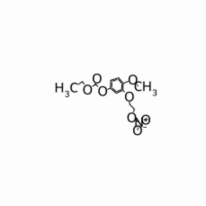 CCOC(=O)Oc1ccc(OC)c(OCCO[N+](=O)[O-])c1